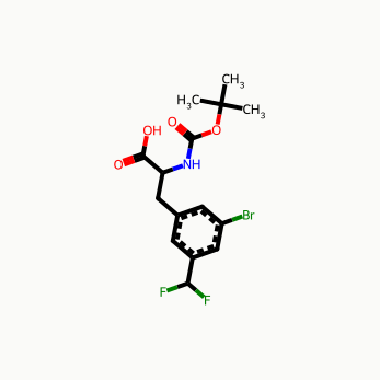 CC(C)(C)OC(=O)NC(Cc1cc(Br)cc(C(F)F)c1)C(=O)O